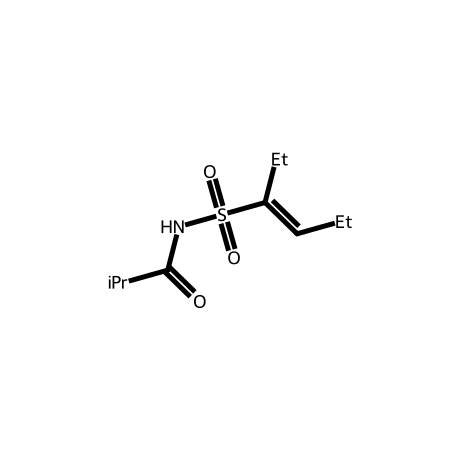 CC/C=C(\CC)S(=O)(=O)NC(=O)C(C)C